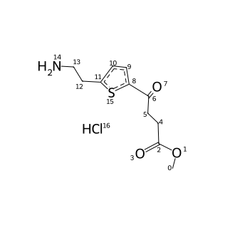 COC(=O)CCC(=O)c1ccc(CCN)s1.Cl